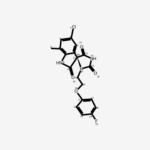 Cc1cc(Cl)cc2c1NC(=O)[C@@]21C(=O)NC(=O)N1CCOc1ccc(F)cc1